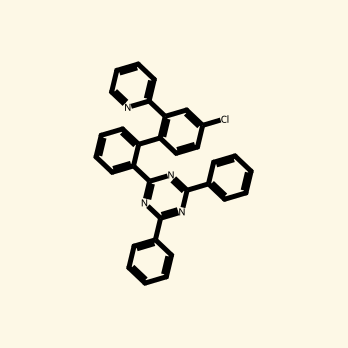 Clc1ccc(-c2ccccc2-c2nc(-c3ccccc3)nc(-c3ccccc3)n2)c(-c2ccccn2)c1